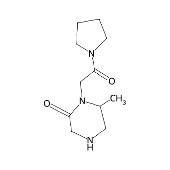 CC1CNCC(=O)N1CC(=O)N1CCCC1